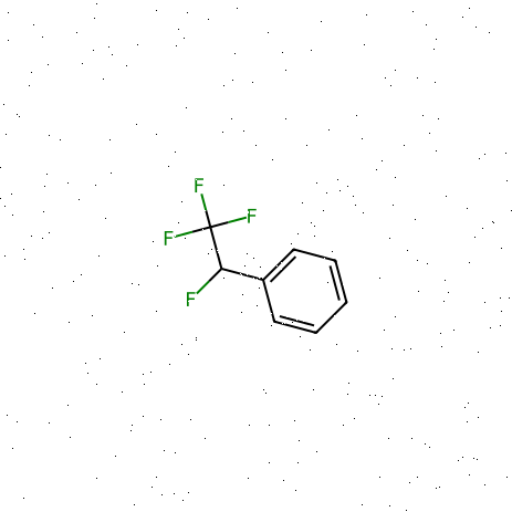 FC(c1ccccc1)C(F)(F)F